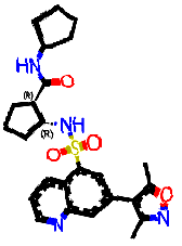 Cc1noc(C)c1-c1cc(S(=O)(=O)N[C@@H]2CCC[C@H]2C(=O)NC2CCCC2)c2cccnc2c1